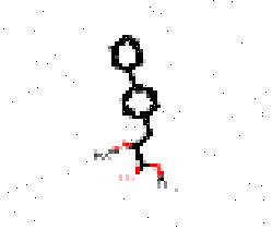 COC(O)C(Cc1ccc(-c2ccccc2)cc1)OC